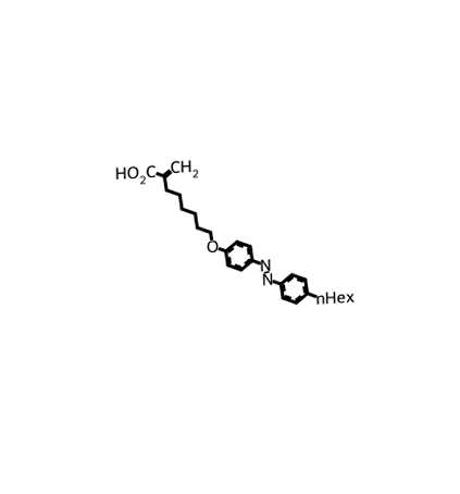 C=C(CCCCCCOc1ccc(N=Nc2ccc(CCCCCC)cc2)cc1)C(=O)O